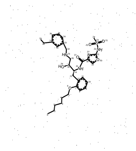 CCCCCCOc1ccccc1C[C@H](NC(=O)c1coc(NS(C)(=O)=O)n1)[C@@H](O)CNCc1cccc(CC)c1